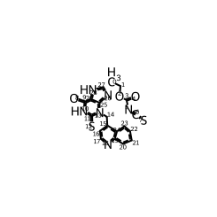 CCOC(=O)N=C=S.O=c1[nH]c(=S)n(Cc2ccnc3ccccc23)c2nc[nH]c12